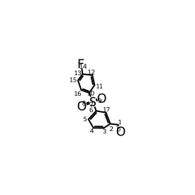 O=Cc1cccc(S(=O)(=O)c2ccc(F)cc2)c1